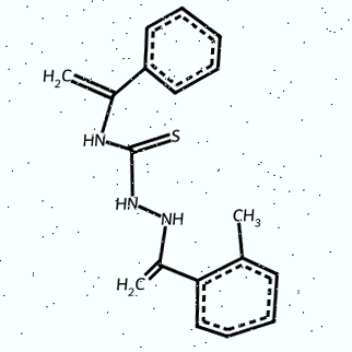 C=C(NC(=S)NNC(=C)c1ccccc1C)c1ccccc1